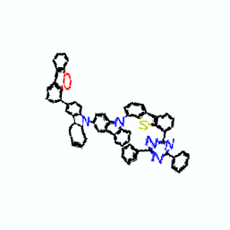 C1=CCC2C(=C1)N(c1ccc3c(c1)c1ccccc1n3-c1cccc3c1sc1c(-c4nc(-c5ccccc5)nc(-c5ccccc5)n4)cccc13)c1ccc(-c3cccc4c3oc3ccccc34)cc12